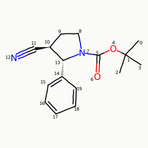 CC(C)(C)OC(=O)N1CC[C@H](C#N)[C@H]1c1ccccc1